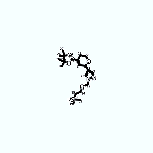 CC1(C)OB(C2=CC(c3cnn(COCC[Si](C)(C)C)c3)OCC2)OC1(C)C